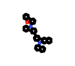 c1ccc2cc3c(cc2c1)c1cc(-c2ccc4c(c2)c2ccccc2n4-c2cccc4c2oc2ccccc24)ccc1n3-c1cccc2ccccc12